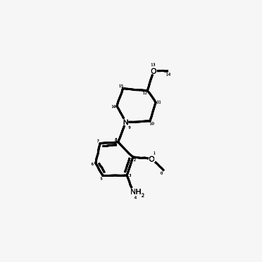 COc1c(N)cccc1N1CCC(OC)CC1